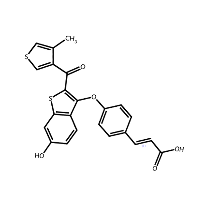 Cc1cscc1C(=O)c1sc2cc(O)ccc2c1Oc1ccc(/C=C/C(=O)O)cc1